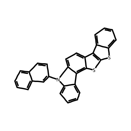 c1ccc2cc(-n3c4ccccc4c4c5sc6sc7ccccc7c6c5ccc43)ccc2c1